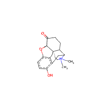 C[N+]1(C)CC[C@@]23c4c5ccc(O)c4CC1C2CCC(=O)C3O5